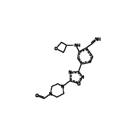 N=Cc1ccc(-c2noc(N3CCN(C=O)CC3)n2)cc1NC1COC1